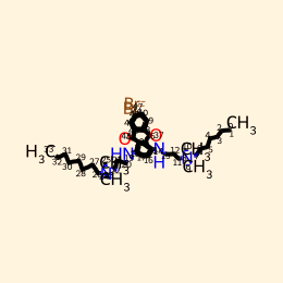 CCCCCCCC[N+](C)(C)CCCNc1ccc(NCCC[N+](C)(C)CCCCCCCC)c2c1C(=O)c1ccccc1C2=O.[Br-].[Br-]